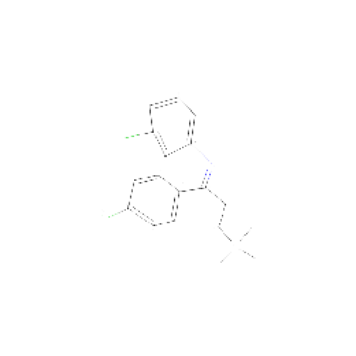 C[Si](C)(C)CCC(=Nc1cccc(Cl)c1)c1ccc(Cl)cc1